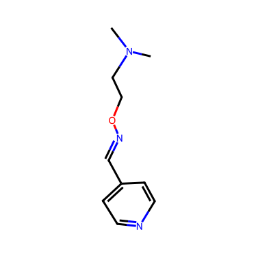 CN(C)CCON=Cc1ccncc1